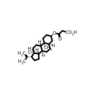 C=C(C)[C@H]1CC[C@H]2[C@@H]3CC[C@@H]4C[C@H](OC(=O)CC(=O)O)CC[C@]4(C)[C@H]3CC[C@]12C